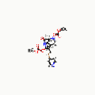 CC(C)(C)OC(=O)OC1=C(CSc2ccncc2)C2CCN(OC(=O)OC(C)(C)C)[C@@H]3C(=O)N1[C@H]23